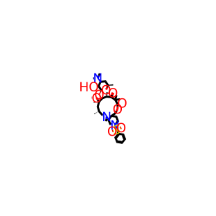 CO[C@]1(C)C[C@@H](C)CN(C)C2(CCN(S(=O)(=O)c3ccccc3)CC2)COC(=O)C(C)(C)C(=O)[C@H](C)[C@H]1O[C@@H]1O[C@H](C)C[C@H](N(C)C)[C@H]1O